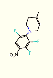 CC1=CCN(c2c(F)cc([N+](=O)[O-])c(F)c2F)CC1